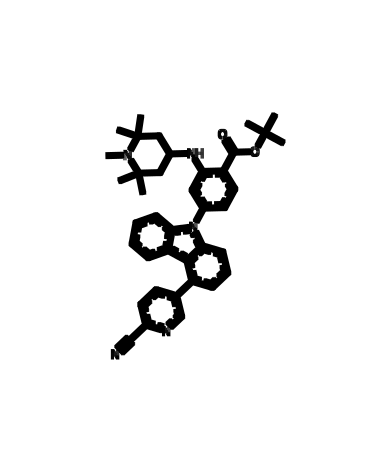 CN1C(C)(C)CC(Nc2cc(-n3c4ccccc4c4c(-c5ccc(C#N)nc5)cccc43)ccc2C(=O)OC(C)(C)C)CC1(C)C